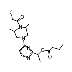 CCCC(=O)OC(C)c1nccc(N2CC(C)N(C(=O)CCl)C(C)C2)n1